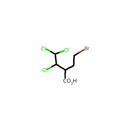 O=C(O)C(CCBr)C(Cl)C(Cl)Cl